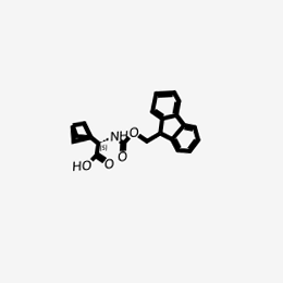 O=C(N[C@H](C(=O)O)C12CC(C1)C2)OCC1c2ccccc2-c2ccccc21